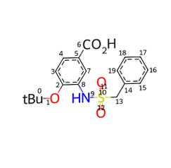 CC(C)(C)Oc1ccc(C(=O)O)cc1NS(=O)(=O)Cc1ccccc1